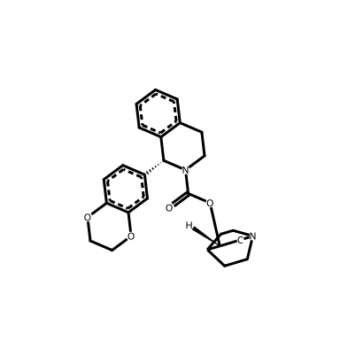 O=C(O[C@@H]1CN2CCC1CC2)N1CCc2ccccc2[C@H]1c1ccc2c(c1)OCCO2